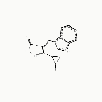 CC1CC1C1=NNC(=O)C1=Cc1c[nH]c2ccccc12